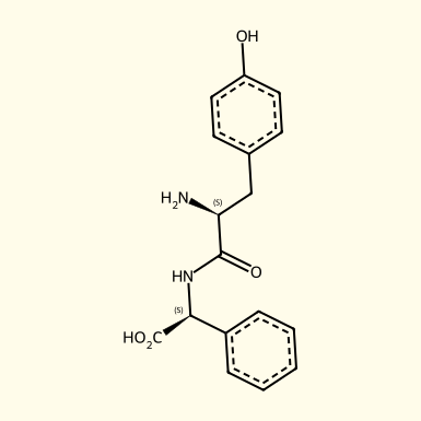 N[C@@H](Cc1ccc(O)cc1)C(=O)N[C@H](C(=O)O)c1ccccc1